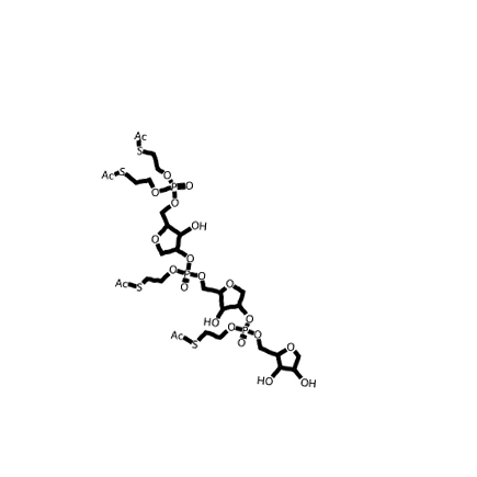 CC(=O)SCCOP(=O)(OCCSC(C)=O)OCC1OCC(OP(=O)(OCCSC(C)=O)OCC2OCC(OP(=O)(OCCSC(C)=O)OCC3OCC(O)C3O)C2O)C1O